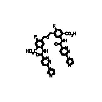 O=C(Nc1cc(CSCc2cc(NC(=O)c3ccc(-n4ccnc4)nn3)c(C(=O)O)cc2F)c(F)cc1C(=O)O)c1ccc(-n2ccnc2)nn1